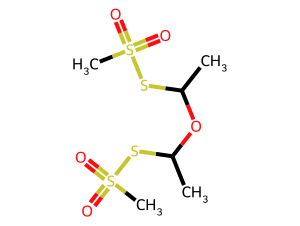 CC(OC(C)SS(C)(=O)=O)SS(C)(=O)=O